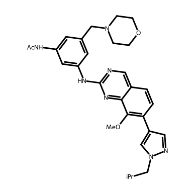 COc1c(-c2cnn(CC(C)C)c2)ccc2cnc(Nc3cc(CN4CCOCC4)cc(NC(C)=O)c3)nc12